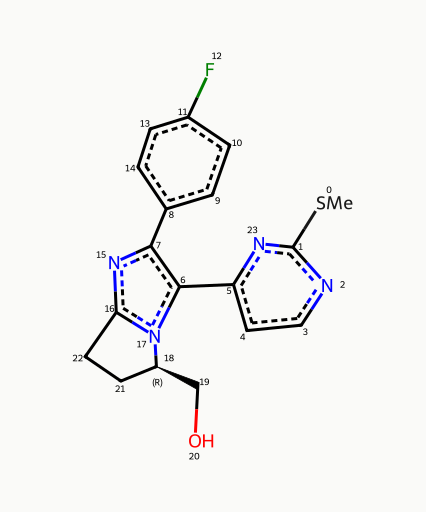 CSc1nccc(-c2c(-c3ccc(F)cc3)nc3n2[C@@H](CO)CC3)n1